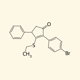 CCSC1=C(c2ccc(Br)cc2)C(=O)CC1c1ccccc1